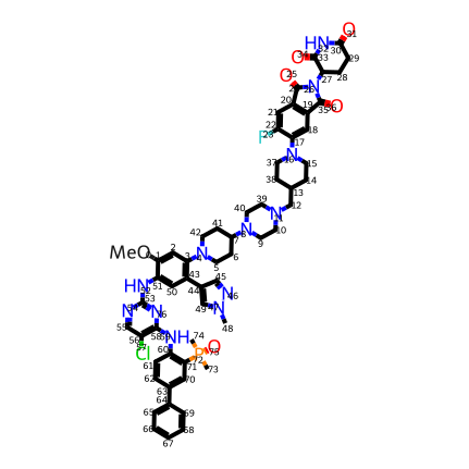 COc1cc(N2CCC(N3CCN(CC4CCN(c5cc6c(cc5F)C(=O)N(C5CCC(=O)NC5=O)C6=O)CC4)CC3)CC2)c(-c2cnn(C)c2)cc1Nc1ncc(Cl)c(Nc2ccc(-c3ccccc3)cc2P(C)(C)=O)n1